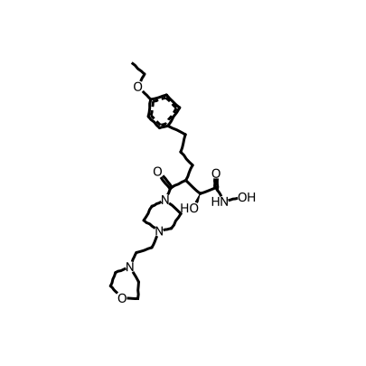 CCOc1ccc(CCCC(C(=O)N2CCN(CCN3CCOCC3)CC2)[C@H](O)C(=O)NO)cc1